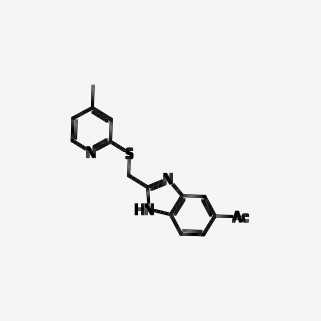 CC(=O)c1ccc2[nH]c(CSc3cc(C)ccn3)nc2c1